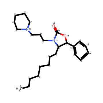 CCCCCCCCC1C(c2ccccc2)OC(=O)N1CCCN1CCCCC1